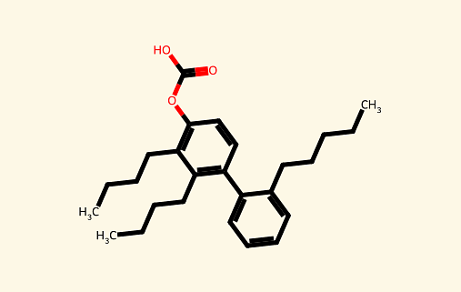 CCCCCc1ccccc1-c1ccc(OC(=O)O)c(CCCC)c1CCCC